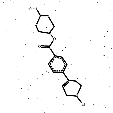 CCCCCC1CCC(OC(=O)c2ccc(C3=CCC(CC)CC3)cc2)CC1